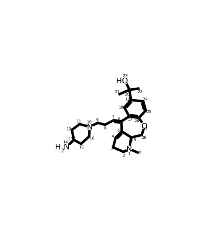 CN1CCC=C2/C(=C\CCN3CCC(N)CC3)c3cc(C(C)(C)O)ccc3OCC21